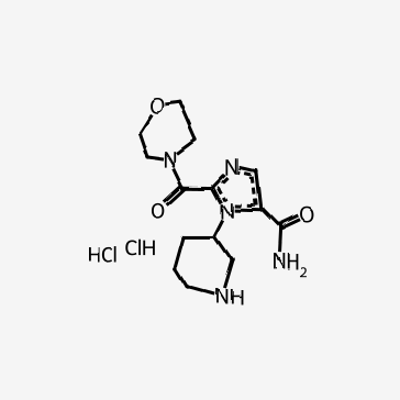 Cl.Cl.NC(=O)c1cnc(C(=O)N2CCOCC2)n1C1CCCNC1